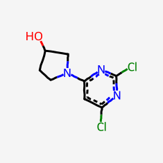 OC1CCN(c2cc(Cl)nc(Cl)n2)C1